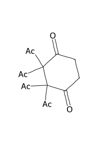 CC(=O)C1(C(C)=O)C(=O)CCC(=O)C1(C(C)=O)C(C)=O